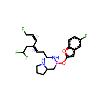 FC/C=C\C(=C/CCNP(CC1CCCN1)Oc1cc2cc(F)ccc2o1)CC(F)F